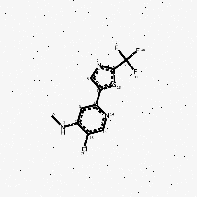 CNc1cc(-c2cnc(C(F)(F)F)s2)ncc1Cl